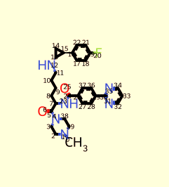 CN1CCN(C(=O)C(CCCCN[C@@H]2C[C@H]2c2ccc(F)cc2)NC(=O)c2ccc(-c3ncccn3)cc2)CC1